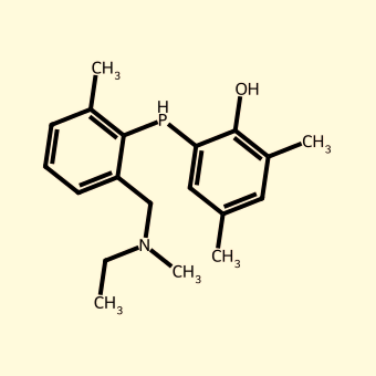 CCN(C)Cc1cccc(C)c1Pc1cc(C)cc(C)c1O